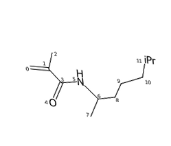 C=C(C)C(=O)NC(C)CCCC(C)C